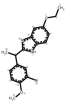 CCOc1ccc2[nH]c(C(C)c3ccc(OC)c(Br)c3)nc2c1